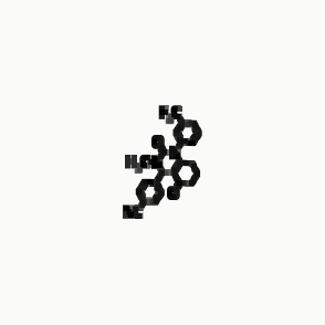 CN1C(=O)N(c2cccc(C(F)(F)F)c2)C2=C(C(=O)CCC2)C1c1ccc(C#N)cc1